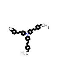 CCc1ccc(/C=C/c2ccc(N(c3ccc(/C=C/c4ccc(CC)cc4)cc3)c3ccc(/C=C/c4ccc(CC)cc4)cc3)cc2)cc1